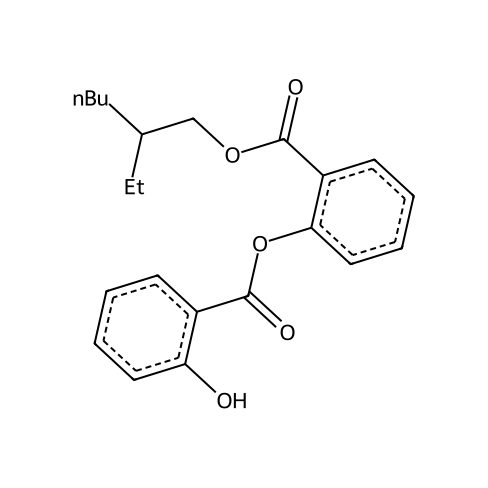 CCCCC(CC)COC(=O)c1ccccc1OC(=O)c1ccccc1O